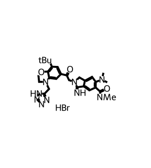 Br.CNC(=O)c1cc2c(cc1N(C)C)CN(CC(=O)c1cc3c(c(C(C)(C)C)c1)OCCN3Cc1nnn[nH]1)C2=N